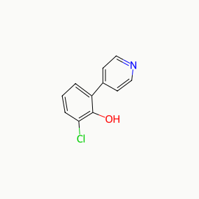 Oc1c(Cl)cccc1-c1ccncc1